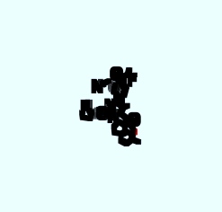 C=C(F)C(=O)N1CCN(c2nc(OC[C@@H]3CCCN3C)nc(CC3(C(C)=O)CCCc4ccc(C)cc43)c2C)C[C@@H]1CC#N